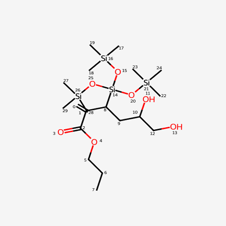 C=C(C(=O)OCCC)C(CC(O)CO)[Si](O[Si](C)(C)C)(O[Si](C)(C)C)O[Si](C)(C)C